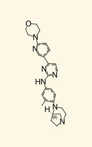 Cc1cc(Nc2nccc(-c3ccc(N4CCOCC4)nc3)n2)ccc1N1CCN2CC[C@@H]1C2